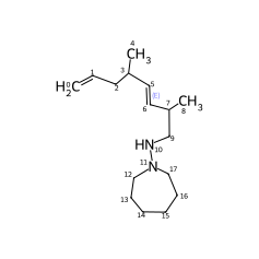 C=CCC(C)/C=C/C(C)CNN1CCCCCC1